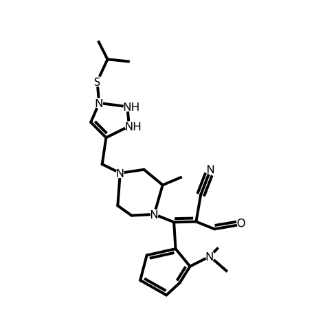 CC(C)SN1C=C(CN2CCN(/C(=C(\C#N)C=O)c3ccccc3N(C)C)C(C)C2)NN1